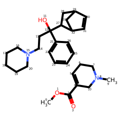 COC(=O)C1=CCCN(C)C1.OC(CCN1CCCCC1)(c1ccccc1)C1CC2C=CC1C2